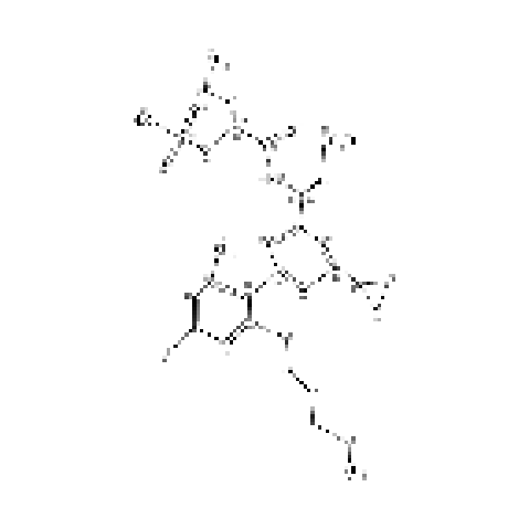 C=CCCCCc1cc(F)cc(C)c1-c1cc(C2CC2)cc([C@H](CC(=O)OCC)NC(=O)[C@@H](CC=C)OS(C)(=O)=O)c1